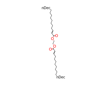 CCCCCCCCCCCCCCCCCC/C=C/C(=O)OCCOC(=O)/C=C/CCCCCCCCCCCCCCCCCC